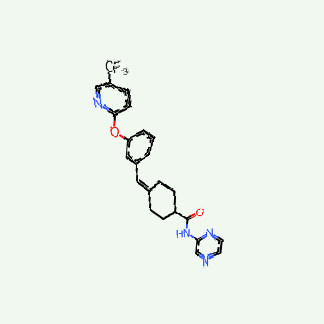 O=C(Nc1cnccn1)C1CCC(=Cc2cccc(Oc3ccc(C(F)(F)F)cn3)c2)CC1